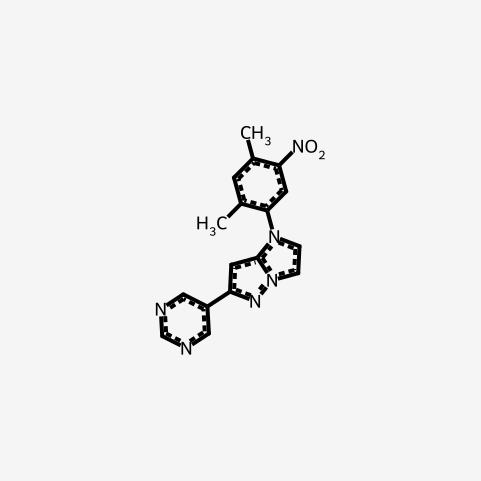 Cc1cc(C)c([N+](=O)[O-])cc1-n1ccn2nc(-c3cncnc3)cc12